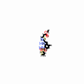 CCOC(=O)CC1CN=C(c2cc3c(C)ccc(NS(=O)(=O)c4cccs4)c3[nH]2)S1